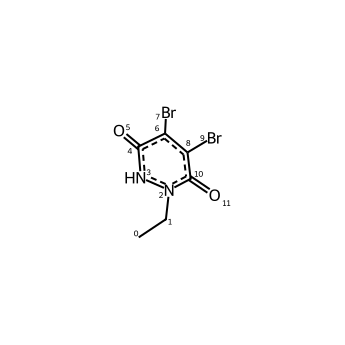 CCn1[nH]c(=O)c(Br)c(Br)c1=O